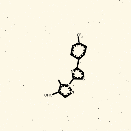 Cc1c(C=O)cnn1-c1nc(-c2ccc(C(F)(F)F)cc2)cs1